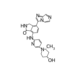 C[C@@H]1C[C@@H](O)CCN1c1ccc(Nc2ccc(-c3cnc4cnccn34)c3c2C(=O)NC3)nc1